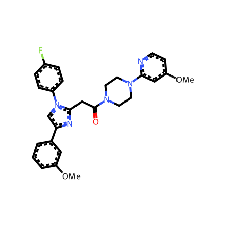 COc1cccc(-c2cn(-c3ccc(F)cc3)c(CC(=O)N3CCN(c4cc(OC)ccn4)CC3)n2)c1